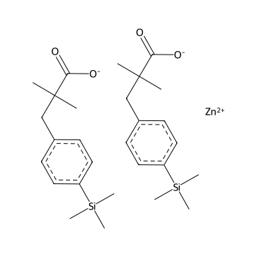 CC(C)(Cc1ccc([Si](C)(C)C)cc1)C(=O)[O-].CC(C)(Cc1ccc([Si](C)(C)C)cc1)C(=O)[O-].[Zn+2]